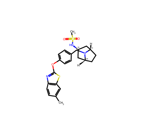 Cc1ccc2nc(Oc3ccc(CN4[C@@H]5CC[C@H]4C[C@H](NS(C)(=O)=O)C5)cc3)sc2c1